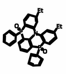 CCc1ccc2c(c1)N1c3cc(CC)ccc3P(=O)(c3ccccc3)c3cccc(c31)P2(=O)c1ccccc1